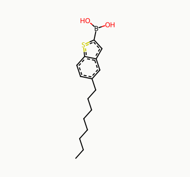 CCCCCCCCc1ccc2sc(B(O)O)cc2c1